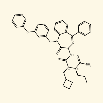 CCC[C@H](C(N)=O)[C@@H](CC1CCC1)C(=O)NC1N=C(c2ccccc2)c2ccccc2N(Cc2cccc(Oc3ccccc3)c2)C1=O